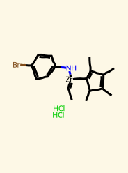 C[CH]=[Zr]([NH]c1ccc(Br)cc1)[C]1=C(C)C(C)=C(C)C1C.Cl.Cl